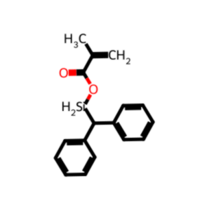 C=C(C)C(=O)O[SiH2]C(c1ccccc1)c1ccccc1